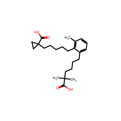 Cc1cccc(CCCCC(C)(C)C(=O)O)c1CCCCCC1(C(=O)O)CC1